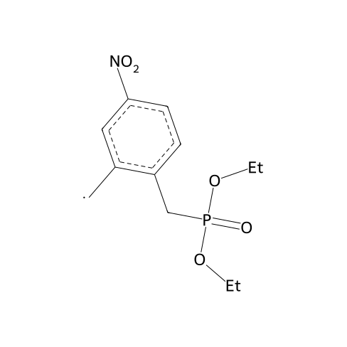 [CH2]c1cc([N+](=O)[O-])ccc1CP(=O)(OCC)OCC